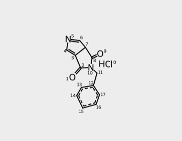 Cl.O=C1C2=CN=CC2C(=O)N1Cc1ccccc1